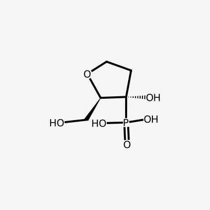 O=P(O)(O)[C@]1(O)CCO[C@@H]1CO